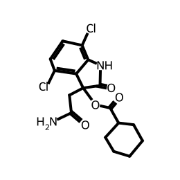 NC(=O)CC1(OC(=O)C2CCCCC2)C(=O)Nc2c(Cl)ccc(Cl)c21